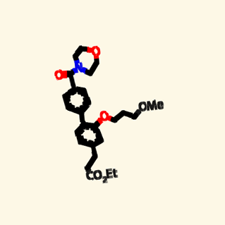 CCOC(=O)CCc1ccc(-c2ccc(C(=O)N3CCOCC3)cc2)c(OCCCOC)c1